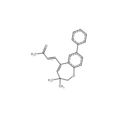 CC(=O)/C=C/C1=CC(C)(C)COc2ccc(-c3ccccc3)cc21